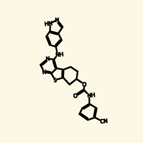 N#Cc1cccc(NC(=O)OC2CCc3c(sc4ncnc(Nc5ccc6[nH]ncc6c5)c34)C2)c1